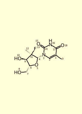 Cc1cn([C@@H]2O[C@H](CO)[C@@H](O)[C@@]2(C)F)c(=O)[nH]c1=O